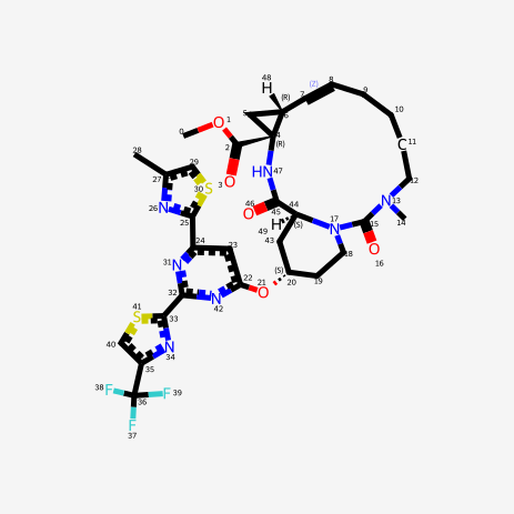 COC(=O)[C@@]12C[C@@H]1/C=C\CCCCN(C)C(=O)N1CC[C@H](Oc3cc(-c4nc(C)cs4)nc(-c4nc(C(F)(F)F)cs4)n3)C[C@H]1C(=O)N2